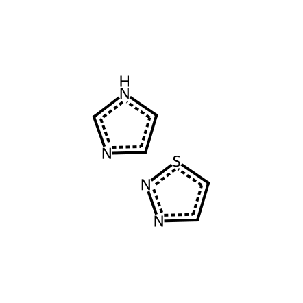 c1c[nH]cn1.c1csnn1